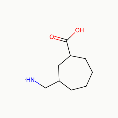 [NH]CC1CCCCC(C(=O)O)C1